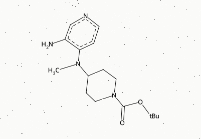 CN(c1ccncc1N)C1CCN(C(=O)OC(C)(C)C)CC1